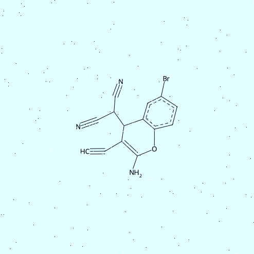 C#CC1=C(N)Oc2ccc(Br)cc2C1C(C#N)C#N